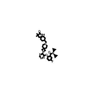 CC1(C)CC2(CCC(CN3CCC4(CC3)CN(c3ncnnc3Oc3ccc(F)cc3C(=O)N(C3CC3)C3CC3)C4)CC2)NC1=O